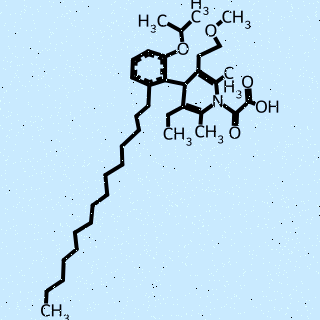 CCCCCCCCCCCCCCCc1cccc(OC(C)C)c1C1C(CC)=C(C)N(C(=O)C(=O)O)C(C)=C1CCOC